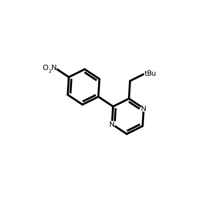 CC(C)(C)Cc1nccnc1-c1ccc([N+](=O)[O-])cc1